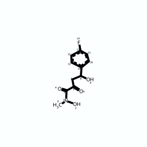 CN(O)C(=O)C(=O)CC(O)c1ccc(F)cc1